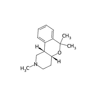 CN1CC[C@H]2OC(C)(C)c3ccccc3[C@H]2C1